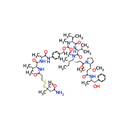 CC[C@H](C)[C@@H](CCC(=O)N1CCC[C@H]1[C@H](OC)[C@@H](C)C(=O)N[C@H](C)[C@@H](O)c1ccccc1)N(C)C(=O)[C@@H](NC(=O)[C@H](C(C)C)N(C)C(=O)OCc1ccc(NC(=O)[C@H](C)NC(=O)[C@@H](NC(=O)CCSSC(C)(C)CC(N)=O)C(C)C)cc1)C(C)C